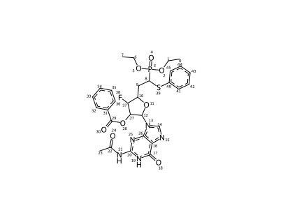 CCOP(=O)(OCC)C(CC1OC(n2cnc3c(=O)[nH]c(NC(C)=O)nc32)C(OC(=O)c2ccccc2)C1F)Sc1ccccc1